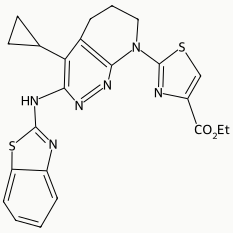 CCOC(=O)c1csc(N2CCCc3c2nnc(Nc2nc4ccccc4s2)c3C2CC2)n1